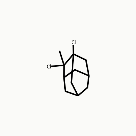 CC1(Cl)C2CC3CC(C2)CC1(Cl)C3